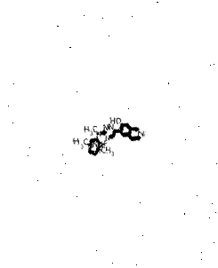 CN(c1ncc(-c2cc3ccncc3cc2O)nn1)[C@H]1C[C@]2(C)C=C[C@@](C)(N2)[C@@H]1F